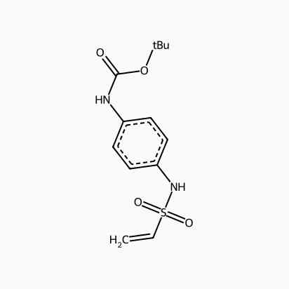 C=CS(=O)(=O)Nc1ccc(NC(=O)OC(C)(C)C)cc1